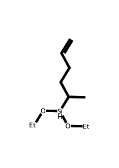 C=CCCC(C)[SiH](OCC)OCC